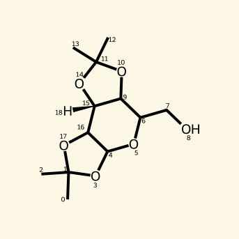 CC1(C)OC2OC(CO)C3OC(C)(C)O[C@H]3C2O1